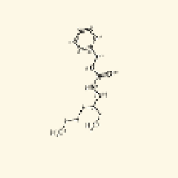 CCCCC(CC)NNC(=O)OCc1ccccc1